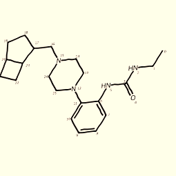 CCNC(=O)Nc1ccccc1N1CCN(CC2CCC3CCC32)CC1